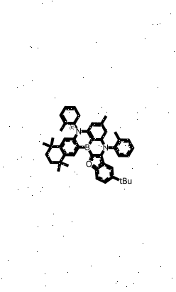 CC1=CC2=C3B(c4cc5c(cc4N2[C@@H]2CC=CC=C2C)C(C)(C)CCC5(C)C)c2oc4ccc(C(C)(C)C)cc4c2N(c2ccccc2C)C3C1